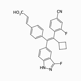 N#Cc1ccc(C(=C(c2ccc(C=CC(=O)O)cc2)c2ccc3[nH]nc(F)c3c2)C2CCC2)c(F)c1